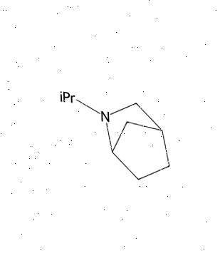 CC(C)N1CC2CCC1C2